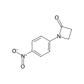 O=C1CCN1c1ccc([N+](=O)[O-])cc1